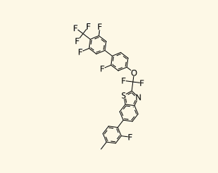 Cc1ccc(-c2ccc3nc(C(F)(F)Oc4ccc(-c5cc(F)c(C(F)(F)F)c(F)c5)c(F)c4)sc3c2)c(F)c1